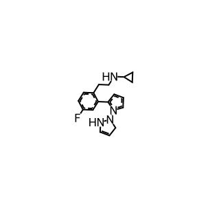 Fc1ccc(CCNC2CC2)c(-c2cccn2N2CC=CN2)c1